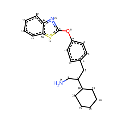 NCC(Cc1ccc(Oc2nc3ccccc3s2)cc1)C1CCCCC1